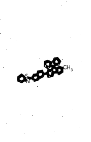 Cc1ccc2c(c1)C(c1ccccc1)(c1ccccc1)c1cc(C3C=CC4=CC(c5nc6c(s5)C=CCC6)CC=C4C3)ccc1-2